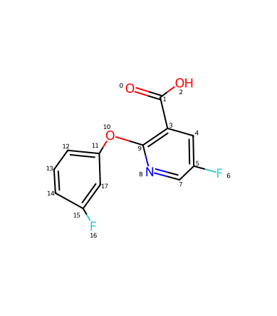 O=C(O)c1cc(F)cnc1Oc1cccc(F)c1